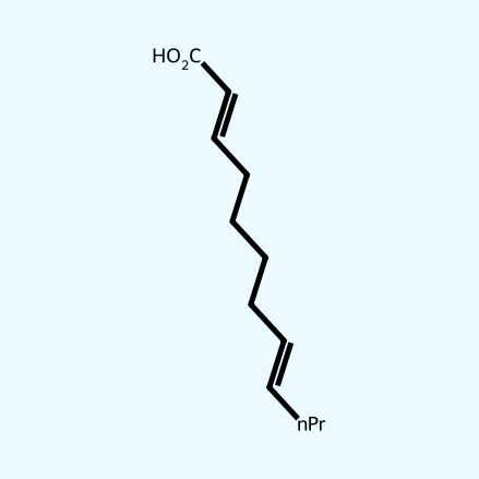 CCCC=CCCCCC=CC(=O)O